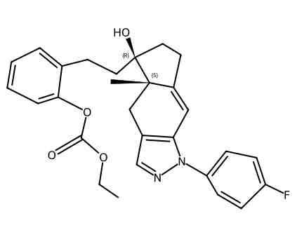 CCOC(=O)Oc1ccccc1CC[C@]1(O)CCC2=Cc3c(cnn3-c3ccc(F)cc3)C[C@@]21C